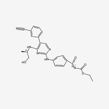 CCOC(=O)/N=[SH](=O)/c1ccc(Nc2ncc(-c3cccc(C#N)c3)c(N[C@H](C)CO)n2)cc1